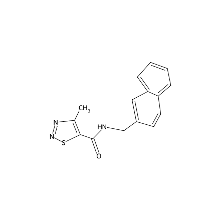 Cc1nnsc1C(=O)NCc1ccc2ccccc2c1